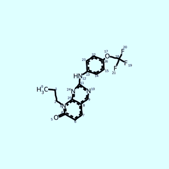 CCCn1c(=O)ccc2cnc(Nc3ccc(OC(F)(F)F)cc3)nc21